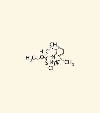 CCOC(=S)CN(C(=O)CCl)c1c(C(C)C)cccc1C(C)C